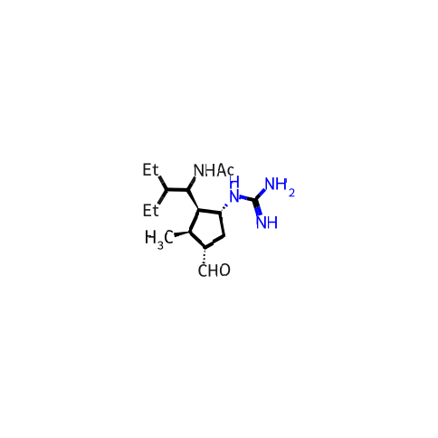 CCC(CC)C(NC(C)=O)[C@@H]1[C@H](C)[C@@H](C=O)C[C@H]1NC(=N)N